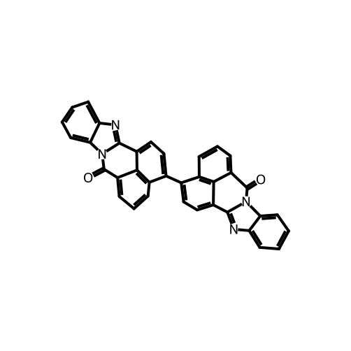 O=c1c2cccc3c(-c4ccc5c6c4cccc6c(=O)n4c6ccccc6nc54)ccc(c32)c2nc3ccccc3n12